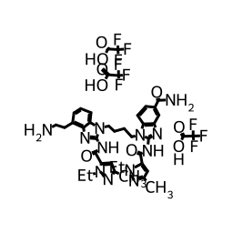 CCn1nc(C)cc1C(=O)Nc1nc2cc(C(N)=O)ccc2n1CCCCn1c(NC(=O)c2cc(C)nn2CC)nc2c(CCN)cccc21.O=C(O)C(F)(F)F.O=C(O)C(F)(F)F.O=C(O)C(F)(F)F